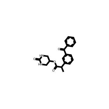 CC(C(=O)OC1CNC(=O)NC1)c1cccc(C(=O)c2ccccc2)c1